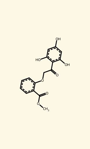 COC(=O)c1ccccc1OCC(=O)c1c(O)cc(O)cc1O